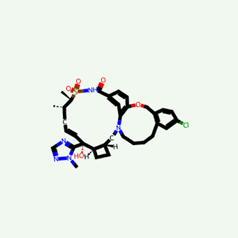 C[C@@H]1[C@@H](C)C/C=C/[C@](O)(c2ncnn2C)[C@@H]2CC[C@H]2CN2CCCCc3cc(Cl)ccc3COc3ccc(cc32)C(=O)NS1(=O)=O